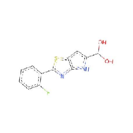 OC(O)c1cc2sc(-c3ccccc3F)nc2[nH]1